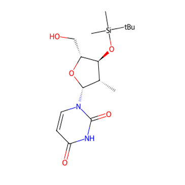 C[C@H]1[C@H](O[Si](C)(C)C(C)(C)C)[C@@H](CO)O[C@H]1n1ccc(=O)[nH]c1=O